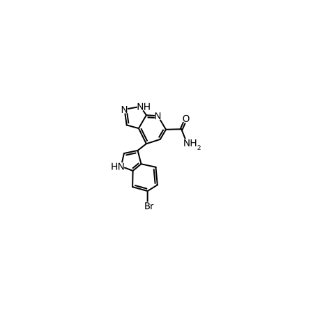 NC(=O)c1cc(-c2c[nH]c3cc(Br)ccc23)c2cn[nH]c2n1